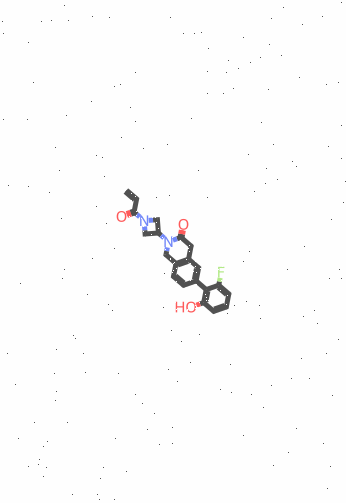 C=CC(=O)N1CC(N2Cc3ccc(-c4c(O)cccc4F)cc3CC2=O)C1